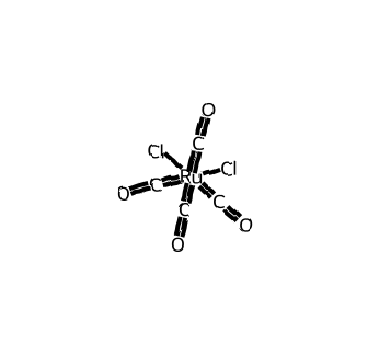 O=[C]=[Ru]([Cl])([Cl])(=[C]=O)(=[C]=O)=[C]=O